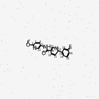 COc1ccc(NC(=O)c2ccc(-c3cccc(F)c3)nc2)cn1